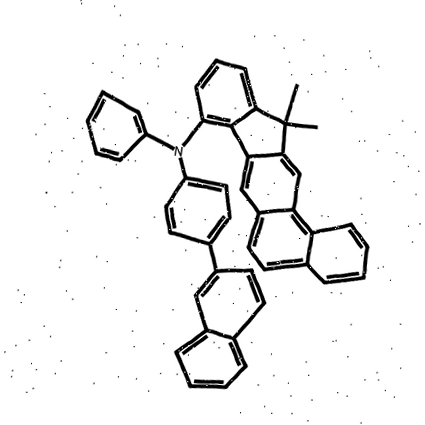 CC1(C)c2cc3c(ccc4ccccc43)cc2-c2c(N(c3ccccc3)c3ccc(-c4ccc5ccccc5c4)cc3)cccc21